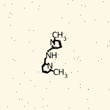 Cc1cccc(CNCc2cccc(C)n2)n1